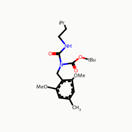 COc1cc(C)cc(OC)c1CN(C(=O)NCCC(C)C)C(=O)OC(C)(C)C